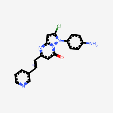 Nc1ccc(-n2c(Cl)cc3nc(/C=C/c4cccnc4)cc(=O)n32)cc1